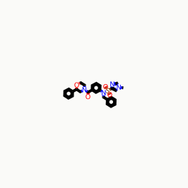 Cn1cnc(S(=O)(=O)N(Cc2ccccc2)c2cccc(C(=O)N3CCOC(c4ccccc4)C3)c2)c1